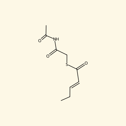 CC/C=C/C(=O)SCC(=O)NC(C)=O